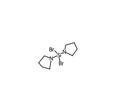 Br[Si](Br)(N1CCCC1)N1CCCC1